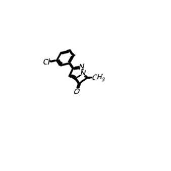 CC1C(=O)c2cc(-c3cccc(Cl)c3)nn21